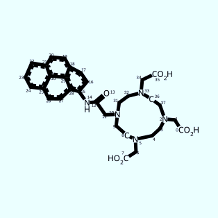 O=C(O)CN1CCN(CC(=O)O)CCN(CC(=O)Nc2ccc3ccc4cccc5ccc2c3c45)CCN(CC(=O)O)CC1